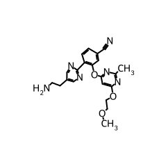 COCCOc1cc(Oc2cc(C#N)ccc2-c2ncc(CCN)cn2)nc(C)n1